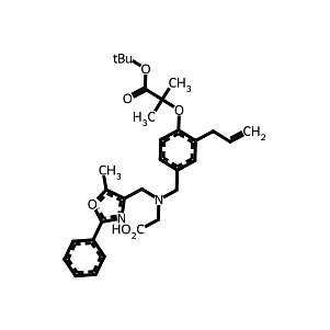 C=CCc1cc(CN(CC(=O)O)Cc2nc(-c3ccccc3)oc2C)ccc1OC(C)(C)C(=O)OC(C)(C)C